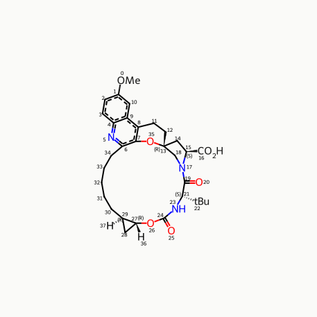 COc1ccc2nc3c4c(c2c1)CC[C@]1(C[C@@H](C(=O)O)N(C1)C(=O)[C@H](C(C)(C)C)NC(=O)O[C@@H]1C[C@H]1CCCCC3)O4